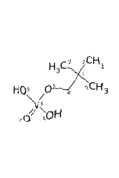 CC(C)(C)C[O][V](=[O])([OH])[OH]